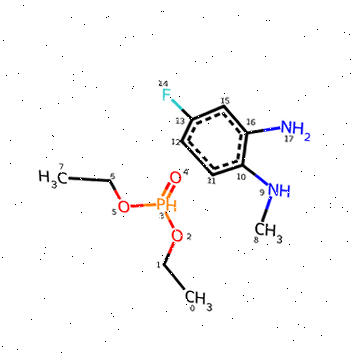 CCO[PH](=O)OCC.CNc1ccc(F)cc1N